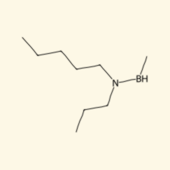 CBN(CCC)CCCCC